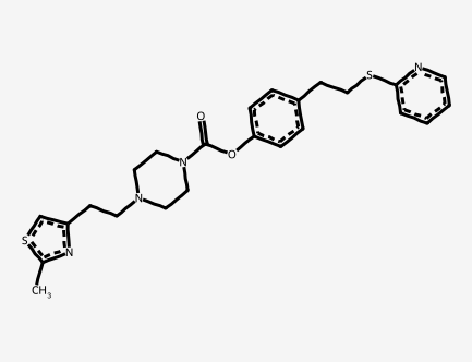 Cc1nc(CCN2CCN(C(=O)Oc3ccc(CCSc4ccccn4)cc3)CC2)cs1